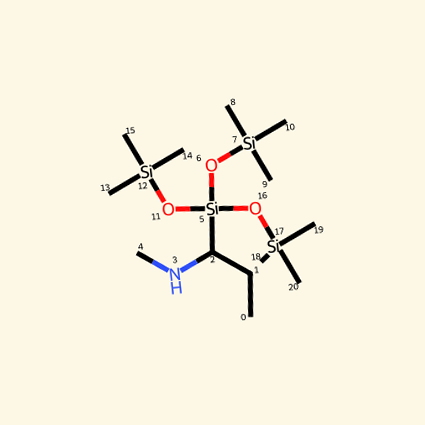 CCC(NC)[Si](O[Si](C)(C)C)(O[Si](C)(C)C)O[Si](C)(C)C